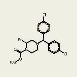 CC[C@H]1CN(C(c2ccc(Cl)cc2)c2ccc(Cl)cc2)CCN1C(=O)OC(C)(C)C